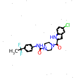 CC(F)(F)c1ccc(NC(=O)N2CCN(C(=O)c3cc4cc(Cl)ccc4[nH]3)CC2)cc1